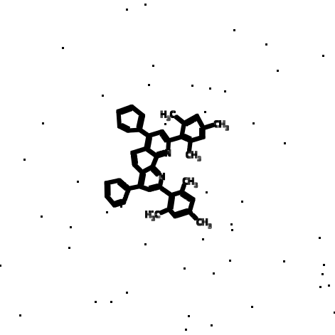 Cc1cc(C)c(-c2cc(-c3ccccc3)c3ccc4c(-c5ccccc5)cc(-c5c(C)cc(C)cc5C)nc4c3n2)c(C)c1